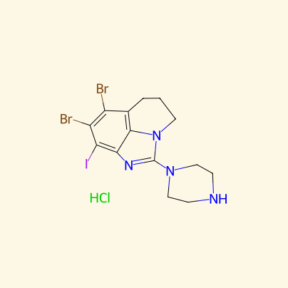 Brc1c(Br)c2c3c(nc(N4CCNCC4)n3CCC2)c1I.Cl